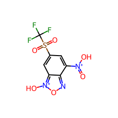 O=[N+](O)c1cc(S(=O)(=O)C(F)(F)F)cc2c1no[n+]2O